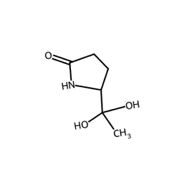 CC(O)(O)C1CCC(=O)N1